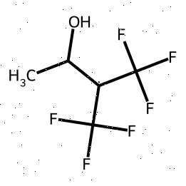 CC(O)[C](C(F)(F)F)C(F)(F)F